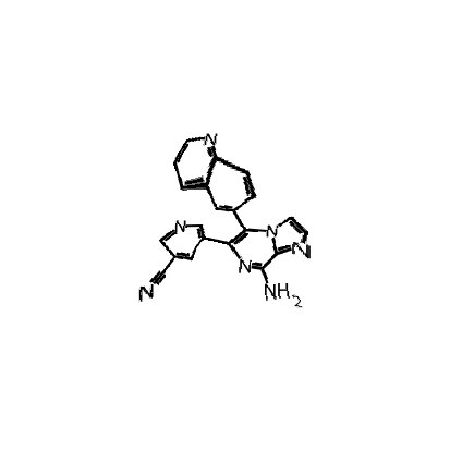 N#Cc1cncc(-c2nc(N)c3nccn3c2-c2ccc3ncccc3c2)c1